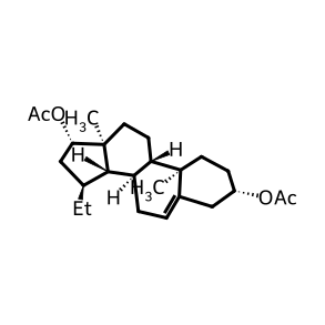 CC[C@H]1C[C@H](OC(C)=O)[C@@]2(C)CC[C@H]3[C@@H](CC=C4C[C@@H](OC(C)=O)CC[C@@]43C)[C@H]12